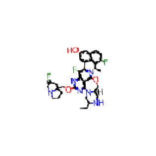 CCc1c(F)ccc2cc(O)cc(-c3nc4c5c(nc(OC[C@@]67CCCN6C[C@H](F)C7)nc5c3F)N3CC(CC)NC[C@@H]3CO4)c12